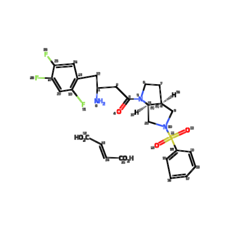 NC(CC(=O)N1CC[C@H]2CN(S(=O)(=O)c3ccccc3)C[C@H]21)Cc1cc(F)c(F)cc1F.O=C(O)C=CC(=O)O